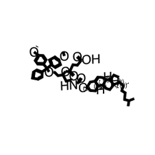 COc1ccc(C(OCCC(CCNC(=O)O[C@H]2CC[C@@]3(C)C(=CC[C@H]4[C@@H]5CC[C@H]([C@H](C)CCCC(C)C)[C@@]5(C)CC[C@@H]43)C2)OC(=O)CCC(=O)O)(c2ccccc2)c2ccc(OC)cc2)cc1